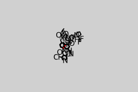 CCOC(=O)[C@H](Cc1ccc(NC(=O)c2c(Cl)cncc2Cl)cc1)NC(=O)[C@@H]1C[C@@H](N2CCCC2C(F)(F)F)CN1S(=O)(=O)c1cccc(C#N)c1